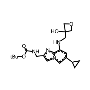 CC(C)(C)OC(=O)NCc1cn2cc(C3CC3)cc(NCC3(O)COC3)c2n1